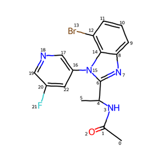 CC(=O)NC(C)c1nc2cccc(Br)c2n1-c1cncc(F)c1